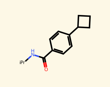 CC(C)NC(=O)c1ccc(C2CCC2)cc1